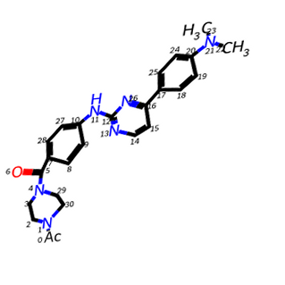 CC(=O)N1CCN(C(=O)c2ccc(Nc3nccc(-c4ccc(N(C)C)cc4)n3)cc2)CC1